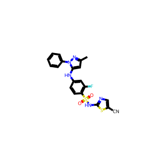 Cc1cc(Nc2ccc(S(=O)(=O)Nc3ncc(C#N)s3)c(F)c2)n(-c2ccccc2)n1